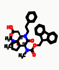 CN(C)C(=O)[C@H](CC(=O)O)N(CCc1ccccc1)C(=O)[C@H](C1CCCC1)N(C)C(=O)OCC1c2ccccc2-c2ccccc21